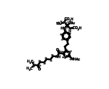 CC(=O)Nc1nc(CCc2ccc(NC(NC(=O)O)(N(C(=O)O)C(C)(C)C)C(C)(C)C)cc2)c(C(=O)NCCCCCC(=O)N(C)C)s1